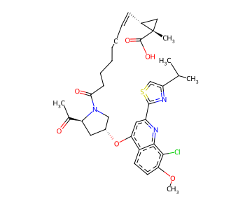 COc1ccc2c(O[C@@H]3C[C@@H](C(C)=O)N(C(=O)CCCCC/C=C\[C@@H]4C[C@]4(C)C(=O)O)C3)cc(-c3nc(C(C)C)cs3)nc2c1Cl